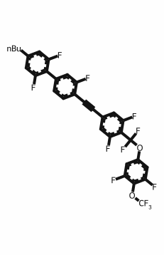 CCCCc1cc(F)c(-c2ccc(C#Cc3cc(F)c(C(F)(F)Oc4cc(F)c(OC(F)(F)F)c(F)c4)c(F)c3)c(F)c2)c(F)c1